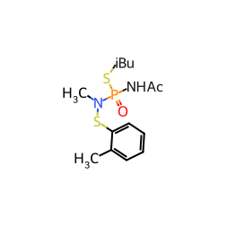 CCC(C)SP(=O)(NC(C)=O)N(C)Sc1ccccc1C